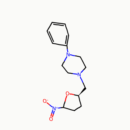 O=[N+]([O-])C1CC[C@H](CN2CCN(c3ccccc3)CC2)O1